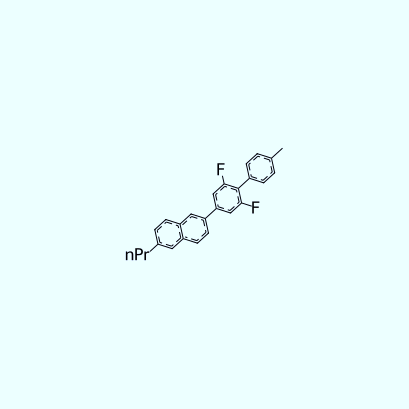 CCCc1ccc2cc(-c3cc(F)c(-c4ccc(C)cc4)c(F)c3)ccc2c1